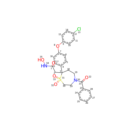 O=C(CC1(c2ccc(Oc3ccc(Cl)cc3)cc2)CCN(C(=O)c2ccccc2)CCS1(=O)=O)NO